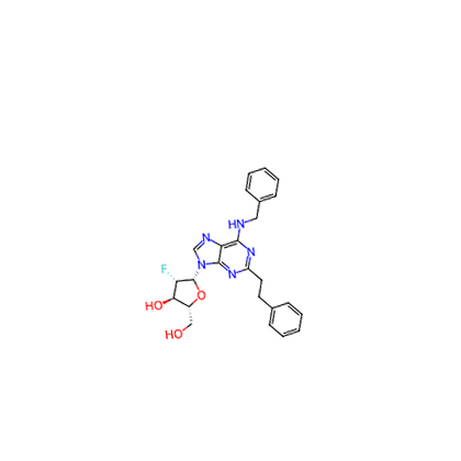 OC[C@H]1O[C@@H](n2cnc3c(NCc4ccccc4)nc(CCc4ccccc4)nc32)[C@@H](F)[C@@H]1O